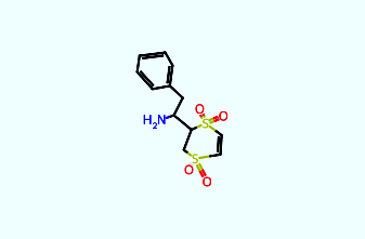 NC(Cc1ccccc1)C1CS(=O)(=O)C=CS1(=O)=O